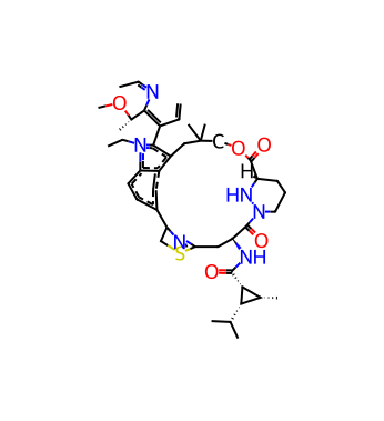 C=C/C(=C(\N=C/C)[C@H](C)OC)c1c2c3cc(ccc3n1CC)C1CSC(=N1)C[C@H](NC(=O)[C@@H]1[C@H](C)[C@@H]1C(C)C)C(=O)N1CCC[C@H](N1)C(=O)OCC(C)(C)C2